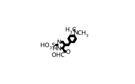 CN(C)c1ccc(C=C2C=NC(S(=O)(=O)O)NC2C(=O)C=O)cc1